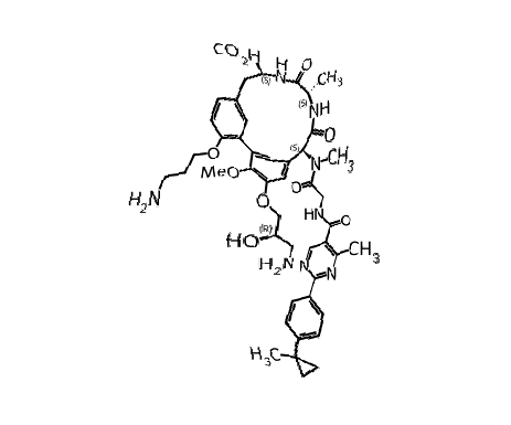 COc1c(OC[C@H](O)CN)cc2cc1-c1cc(ccc1OCCCN)C[C@@H](C(=O)O)NC(=O)[C@H](C)NC(=O)[C@H]2N(C)C(=O)CNC(=O)c1cnc(-c2ccc(C3(C)CC3)cc2)nc1C